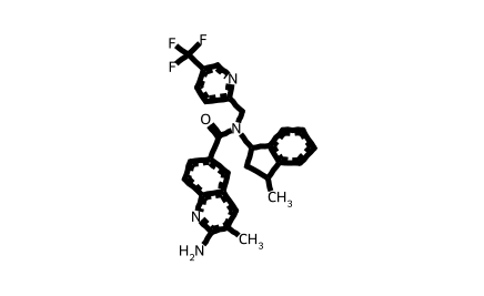 Cc1cc2cc(C(=O)N(Cc3ccc(C(F)(F)F)cn3)C3CC(C)c4ccccc43)ccc2nc1N